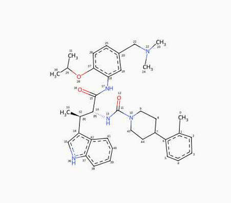 Cc1ccccc1C1CCN(C(=O)N[C@@H](C(=O)Nc2cc(CN(C)C)ccc2OC(C)C)[C@H](C)c2c[nH]c3ccccc23)CC1